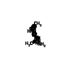 CCOc1nc(N)nc2ncc(-c3ccc(NS(=O)(=O)c4ccc(C)cc4)cc3)nc12